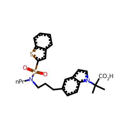 CCCN(CCCc1ccc2c(ccn2C(C)(C)C(=O)O)c1)S(=O)(=O)c1cc2ccccc2s1